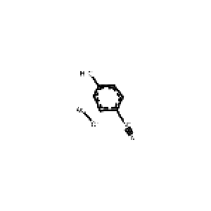 CC(=O)[O-].Cc1ccc([N+]#N)cc1